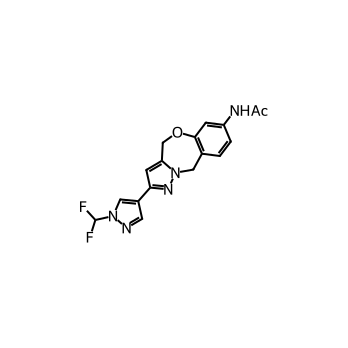 CC(=O)Nc1ccc2c(c1)OCc1cc(-c3cnn(C(F)F)c3)nn1C2